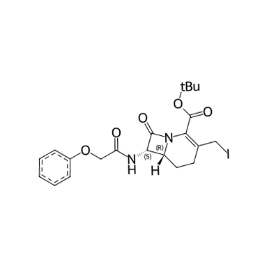 CC(C)(C)OC(=O)C1=C(CI)CC[C@@H]2[C@H](NC(=O)COc3ccccc3)C(=O)N12